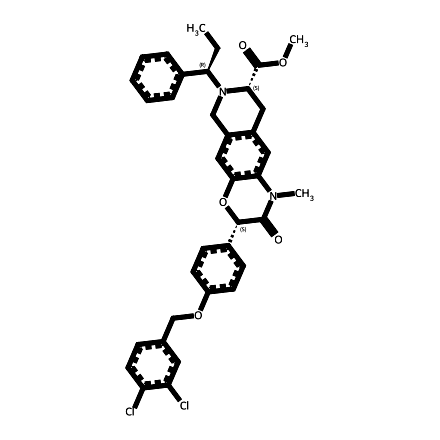 CC[C@H](c1ccccc1)N1Cc2cc3c(cc2C[C@H]1C(=O)OC)N(C)C(=O)[C@H](c1ccc(OCc2ccc(Cl)c(Cl)c2)cc1)O3